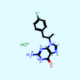 CC(Cc1ccc(F)cc1)n1cnc2c(=O)[nH]c(N)nc21.Cl